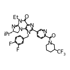 CCN1C(=O)c2nc(-c3ccc(C(=O)N4CCCC(C(F)(F)F)C4)nc3)n(Cc3ccc(F)c(F)c3)c2N2C[C@@H](C(C)C)N=C12